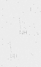 BCNCI